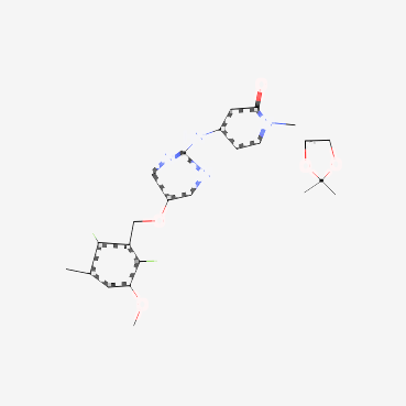 COc1cc(C)c(F)c(COc2cnc(Nc3ccn(C[C@@H]4COC(C)(C)O4)c(=O)c3)nc2)c1F